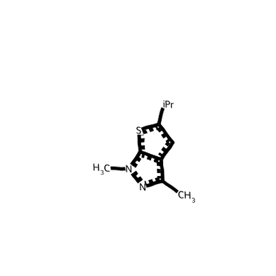 Cc1nn(C)c2sc(C(C)C)cc12